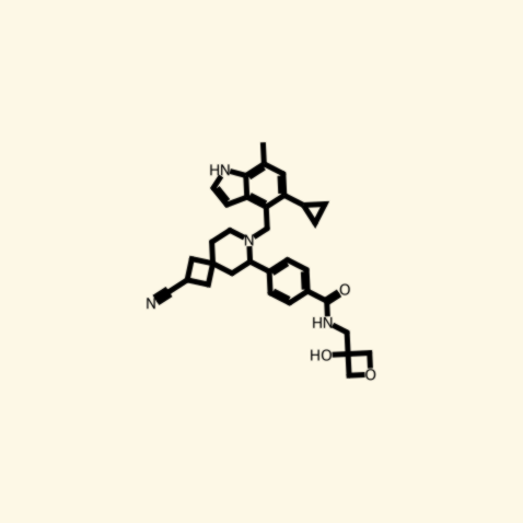 Cc1cc(C2CC2)c(CN2CCC3(CC(C#N)C3)CC2c2ccc(C(=O)NCC3(O)COC3)cc2)c2cc[nH]c12